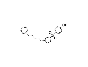 O=S(=O)(c1ccc(O)cc1)C1CCN(CCCCCc2ccccc2)C1